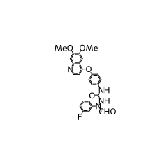 COc1cc2nccc(Oc3ccc(NC(=O)NN(C=O)c4cccc(F)c4)cc3)c2cc1OC